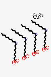 CCCCCCCC/C=C\CCCCCCCC(=O)[O-].CCCCCCCC/C=C\CCCCCCCC(=O)[O-].CCCCCCCC/C=C\CCCCCCCC(=O)[O-].CCCCCCCC/C=C\CCCCCCCC(=O)[O-].[Cu+2].[Cu+2]